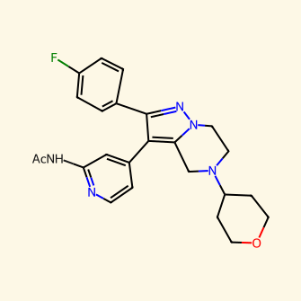 CC(=O)Nc1cc(-c2c(-c3ccc(F)cc3)nn3c2CN(C2CCOCC2)CC3)ccn1